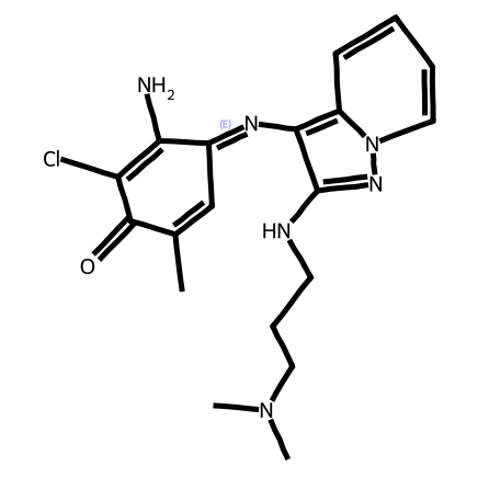 CC1=C/C(=N\c2c(NCCCN(C)C)nn3ccccc23)C(N)=C(Cl)C1=O